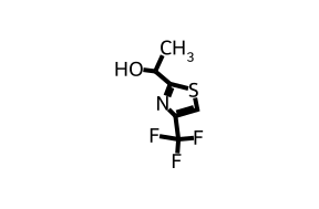 CC(O)c1nc(C(F)(F)F)cs1